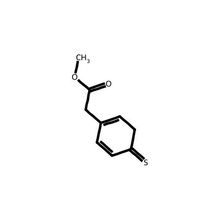 COC(=O)CC1=CCC(=S)C=C1